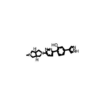 CN1C[C@@H]2CN(c3ccc(-c4ccc(-c5cn[nH]c5)cc4O)nn3)C[C@@H]2C1